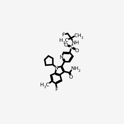 Cc1cc2c(cc1F)c(C(N)=O)c(-c1ccc(S(=O)(=O)NC(C)(C)CF)cn1)n2C1CCCC1